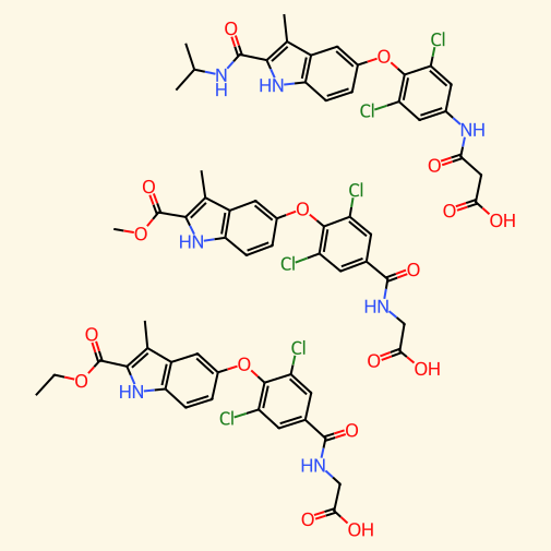 CCOC(=O)c1[nH]c2ccc(Oc3c(Cl)cc(C(=O)NCC(=O)O)cc3Cl)cc2c1C.COC(=O)c1[nH]c2ccc(Oc3c(Cl)cc(C(=O)NCC(=O)O)cc3Cl)cc2c1C.Cc1c(C(=O)NC(C)C)[nH]c2ccc(Oc3c(Cl)cc(NC(=O)CC(=O)O)cc3Cl)cc12